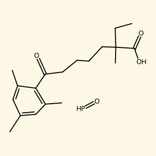 CCC(C)(CCCCC(=O)c1c(C)cc(C)cc1C)C(=O)O.O=P